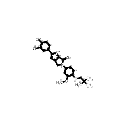 COc1cc(N2Cc3cc(-c4ccc(Cl)c(Cl)c4)sc3C2=O)ccc1OCC(C)(C)C